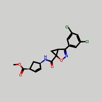 COC(=O)[C@@H]1C=C[C@H](NC(=O)C23CC2C(c2cc(Cl)cc(Cl)c2)=NO3)C1